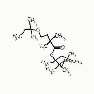 CCC(C)(C)OCCC(C)(C)C(=O)OC(C)(CC(C)(C)C)C(C)(C)C